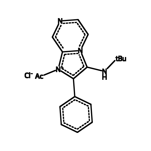 CC(=O)[n+]1c(-c2ccccc2)c(NC(C)(C)C)n2ccncc21.[Cl-]